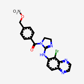 O=C(c1ccc(CO[N+](=O)[O-])cc1)N1CCN=C1Nc1ccc2nccnc2c1Br